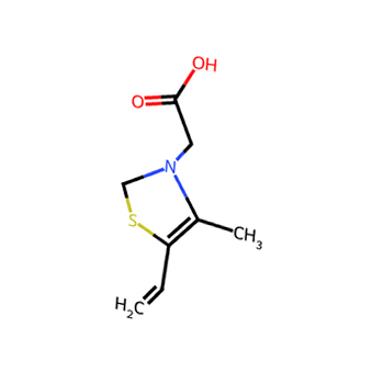 C=CC1=C(C)N(CC(=O)O)CS1